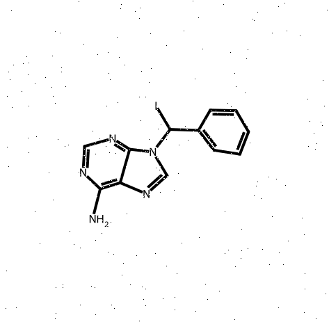 Nc1ncnc2c1ncn2C(I)c1ccccc1